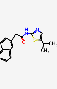 CC(C)c1cnc(NC(=O)Cc2ccc3ccccc3c2)s1